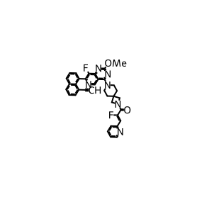 C#Cc1cccc2cccc(-c3ncc4c(N5CCC6(CC5)CN(C(=O)/C(F)=C/c5ccccn5)C6)nc(OC)nc4c3F)c12